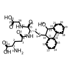 N[C@@H](CCC(=O)N[C@@H](CSC1c2ccccc2-c2ccccc2C1O)C(=O)NCC(=O)O)C(=O)O